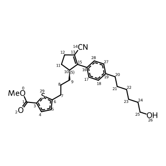 COC(=O)c1ccc(CCC[C@H]2CCC(C#N)=C2c2ccc(CCCCCCO)cc2)s1